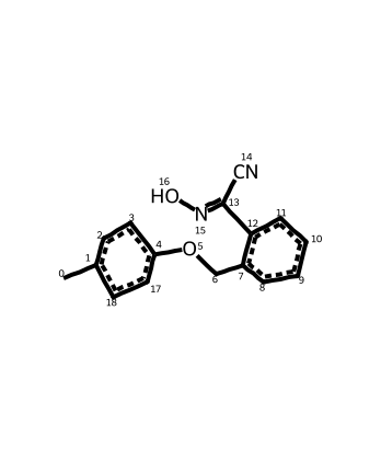 Cc1ccc(OCc2ccccc2C(C#N)=NO)cc1